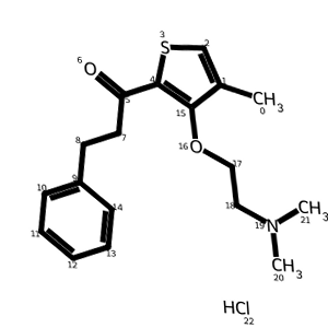 Cc1csc(C(=O)CCc2ccccc2)c1OCCN(C)C.Cl